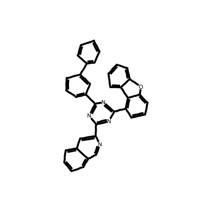 c1ccc(-c2cccc(-c3nc(-c4cc5ccccc5cn4)nc(-c4cccc5oc6ccccc6c45)n3)c2)cc1